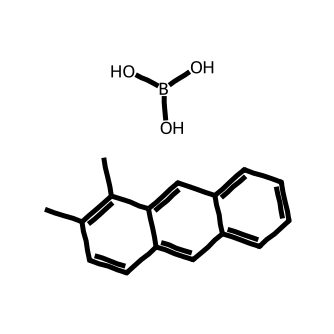 Cc1ccc2cc3ccccc3cc2c1C.OB(O)O